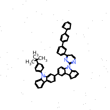 CC(C)(C)c1ccc(-n2c3ccccc3c3ccc(-c4ccc5c(c4)c4ccccc4n5-c4nccc(-c5cccc(-c6ccc(-c7ccccc7)cc6)c5)n4)cc32)cc1